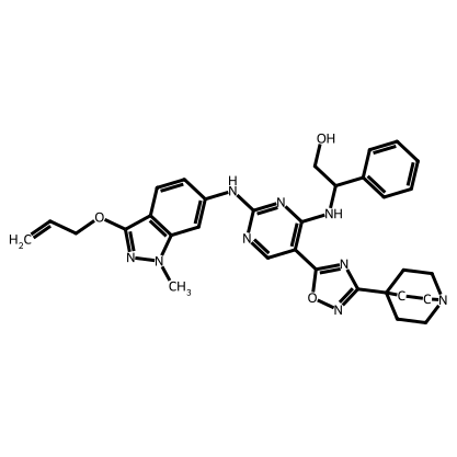 C=CCOc1nn(C)c2cc(Nc3ncc(-c4nc(C56CCN(CC5)CC6)no4)c(NC(CO)c4ccccc4)n3)ccc12